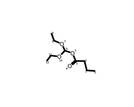 CCCC(=O)OC(OCC)OCC